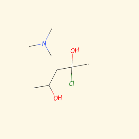 CN(C)C.[CH2]C(O)(Cl)CC(C)O